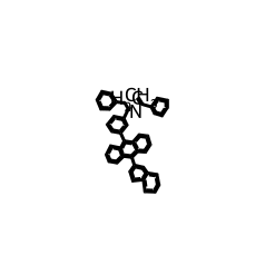 C=C(/N=C(/c1cccc(-c2c3ccccc3c(-c3ccc4ccccc4c3)c3ccccc23)c1)C(C)c1ccccc1)c1ccccc1